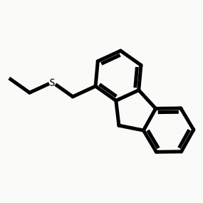 CCSCc1cccc2c1Cc1ccccc1-2